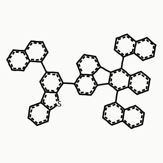 c1ccc2c(-c3cc(-c4ccc5c6c(cccc46)-c4c-5c(-c5cccc6ccccc56)c5ccccc5c4-c4cccc5ccccc45)c4sc5ccccc5c4c3)cccc2c1